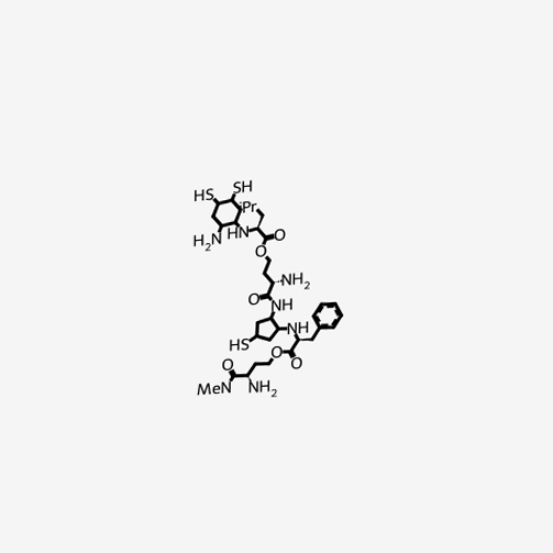 CNC(=O)[C@@H](N)CCOC(=O)[C@H](Cc1ccccc1)NC1CC(S)CC1NC(=O)[C@@H](N)CCOC(=O)[C@H](CC(C)C)NC1CC(S)C(S)CC1N